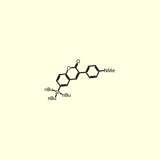 CCC[CH2][Sn]([CH2]CCC)([CH2]CCC)[c]1ccc2oc(=O)c(-c3ccc(NC)cc3)cc2c1